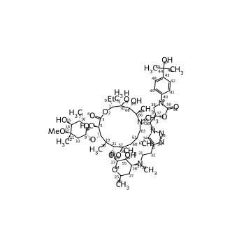 CC[C@H]1OC(=O)[C@H](C)[C@@H](O[C@@H]2C[C@@](C)(OC)[C@@H](O)[C@H](C)O2)[C@H](C)[C@@H](O[C@@H]2O[C@H](C)C[C@H](N(C)CCc3cn(CC4CN(c5ccc(C(C)(C)O)cc5)C(=O)O4)nn3)[C@H]2O)[C@](C)(O)C[C@@H](C)CN(C)[C@H](C)[C@@H](O)[C@]1(C)O